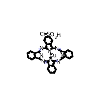 O=S(=O)(O)Cl.c1ccc2c(c1)C1=NC/2=N\c2c3ccccc3c3[n]2[Cu][n]2/c(c4ccccc4/c2=N/C2=N\C(=N/3)c3ccccc32)=N\1